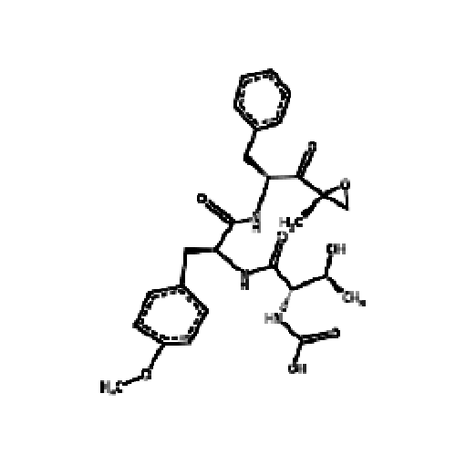 COc1ccc(C[C@H](NC(=O)[C@@H](NC(=O)O)[C@H](C)O)C(=O)N[C@@H](Cc2ccccc2)C(=O)[C@@]2(C)CO2)cc1